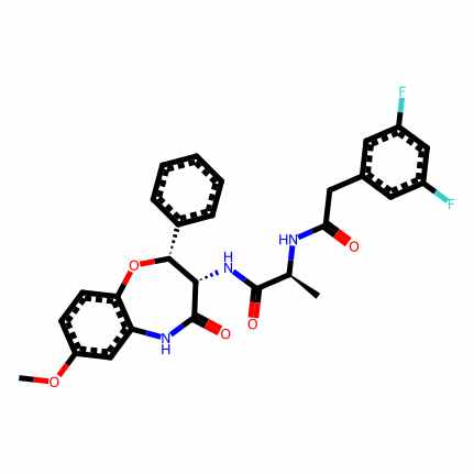 COc1ccc2c(c1)NC(=O)[C@@H](NC(=O)[C@H](C)NC(=O)Cc1cc(F)cc(F)c1)[C@@H](c1ccccc1)O2